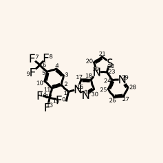 CC(c1ccc(C(F)(F)F)cc1C(F)(F)F)n1cc(N2C=CSC2c2ccccn2)cn1